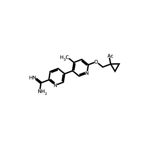 CC(=O)C1(COc2cc(C)c(-c3ccc(C(=N)N)nc3)cn2)CC1